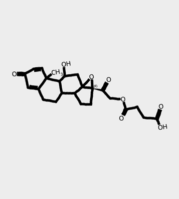 CC12C=CC(=O)C=C1CCC1C2C(O)CC23O[C@]2(C(=O)COC(=O)CCC(=O)O)CCC13